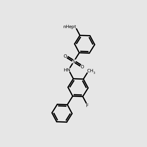 CCCCCCCc1cccc(S(=O)(=O)Nc2cc(-c3ccccc3)c(F)cc2C)c1